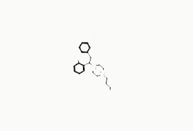 OCCCN1CCN(C2Cc3cc(Cl)ccc3Oc3ccccc32)CC1